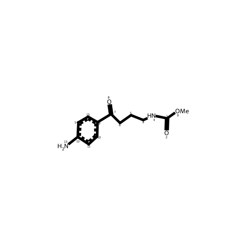 COC(=O)NCCCC(=O)c1ccc(N)cc1